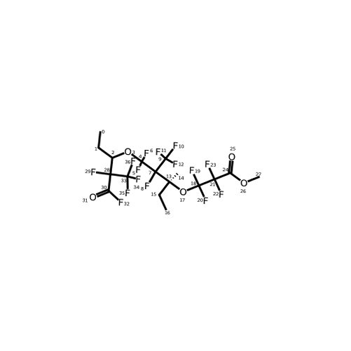 CCC(OC(F)(F)C(F)(C(F)(F)F)[C@](C)(CC)OC(F)(F)C(F)(F)C(=O)OC)C(F)(C(=O)F)C(F)(F)F